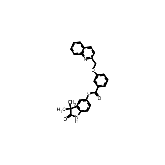 CC1(C)C(=O)Nc2ccc(OC(=O)c3cccc(OCc4ccc5ccccc5n4)c3)cc21